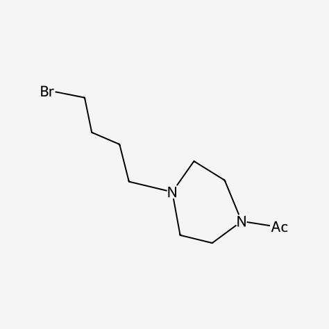 CC(=O)N1CCN(CCCCBr)CC1